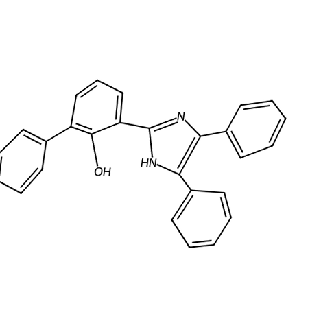 Oc1c(-c2ccccc2)cccc1-c1nc(-c2ccccc2)c(-c2ccccc2)[nH]1